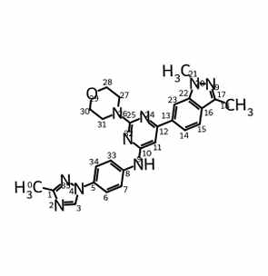 Cc1ncn(-c2ccc(Nc3cc(-c4ccc5c(C)nn(C)c5c4)nc(N4CCOCC4)n3)cc2)n1